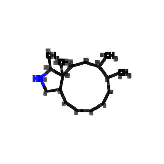 CC1CCCCCC2CNC(C)C2(C)CCC1C